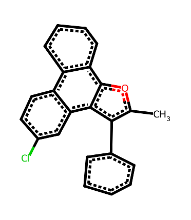 Cc1oc2c3ccccc3c3ccc(Cl)cc3c2c1-c1ccccc1